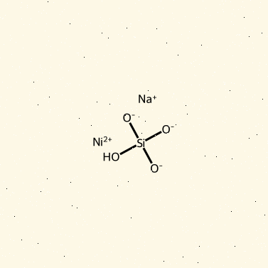 [Na+].[Ni+2].[O-][Si]([O-])([O-])O